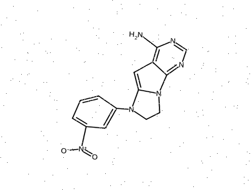 Nc1ncnc2c1cc1n2CCN1c1cccc([N+](=O)[O-])c1